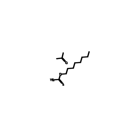 CC(C)=O.CCCCCCCCOC(=S)S